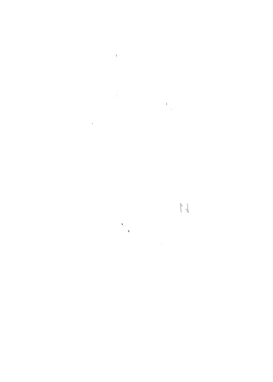 CCc1nc(-c2cccc(C)c2)nc(C(C)C)c1OC(=O)O